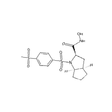 CS(=O)(=O)c1ccc(S(=O)(=O)N2[C@@H](C(=O)NO)C[C@H]3CCC[C@H]32)cc1